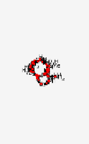 CC[C@H](C)[C@@H]1NC(=O)[C@H](CC(=O)O)NC(=O)[C@H](CCSC)NC(=O)[C@@H]2CCCN2C(=O)[C@@H]2CSCc3cc(cc(c3)OCCCCCCO/N=C/C(=O)N[C@@H](CCCNC(=N)N)C(=O)N2)CSC[C@@H](C(N)=O)NC(=O)[C@H]([C@@H](C)O)NC(=O)[C@@H]2CCCN2C1=O